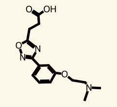 CN(C)CCOc1cccc(-c2noc(CCC(=O)O)n2)c1